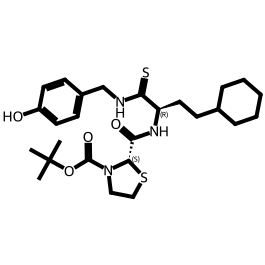 CC(C)(C)OC(=O)N1CCS[C@H]1C(=O)N[C@H](CCC1CCCCC1)C(=S)NCc1ccc(O)cc1